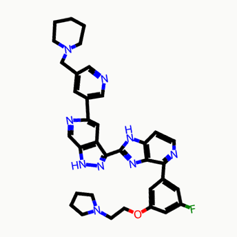 Fc1cc(OCCN2CCCC2)cc(-c2nccc3[nH]c(-c4n[nH]c5cnc(-c6cncc(CN7CCCCC7)c6)cc45)nc23)c1